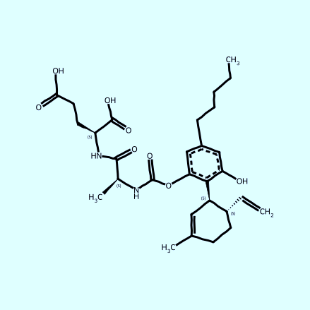 C=C[C@@H]1CCC(C)=C[C@H]1c1c(O)cc(CCCCC)cc1OC(=O)N[C@@H](C)C(=O)N[C@@H](CCC(=O)O)C(=O)O